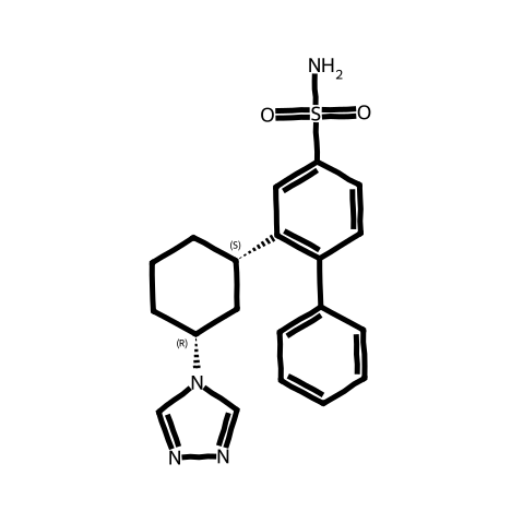 NS(=O)(=O)c1ccc(-c2ccccc2)c([C@H]2CCC[C@@H](n3cnnc3)C2)c1